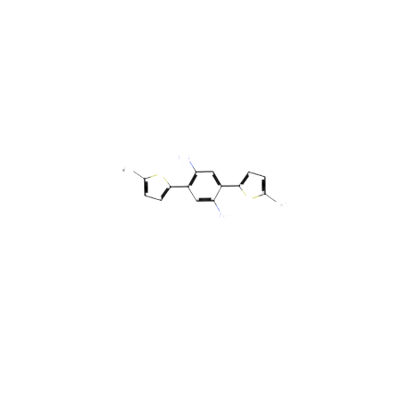 CCCc1ccc(-c2cc(N)c(-c3ccc(CCC)s3)cc2N)s1